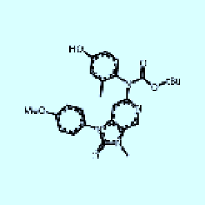 COc1ccc(-n2c(=O)n(C)c3cnc(N(C(=O)OC(C)(C)C)c4ccc(O)cc4C)cc32)cc1